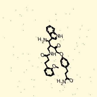 COc1ccccc1CCC(=O)NCC(C(=O)COc1ccc(CCC(N)=O)cc1)C(N)c1c[nH]c2ccccc12